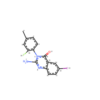 Cc1ccc(-n2c(N)nc3ccc(I)cc3c2=O)c(F)c1